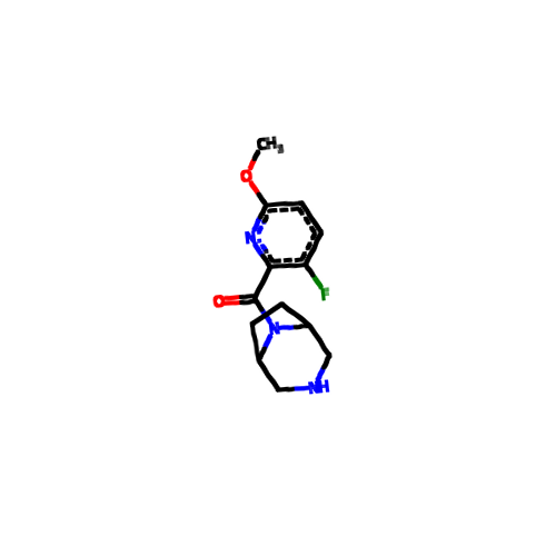 COc1ccc(F)c(C(=O)N2C3CCC2CNC3)n1